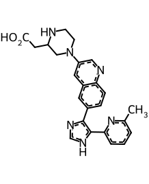 Cc1cccc(-c2[nH]cnc2-c2ccc3ncc(N4CCNC(CC(=O)O)C4)cc3c2)n1